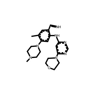 Cc1cc(C=N)c(Nc2cc(N3CCOCC3)ncn2)cc1N1CCN(C)CC1